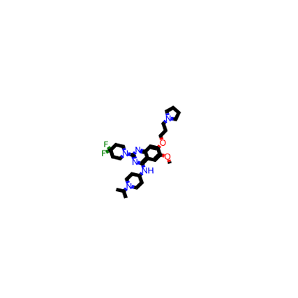 COc1cc2c(NC3CCN(C(C)C)CC3)nc(N3CCC(F)(F)CC3)nc2cc1OCCCN1CCCC1